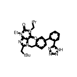 CCn1c(=O)n(CC(C)C)c(=O)c2c1nc(CC(C)(C)C)n2Cc1ccc(-c2ccccc2-c2nnn[nH]2)cc1